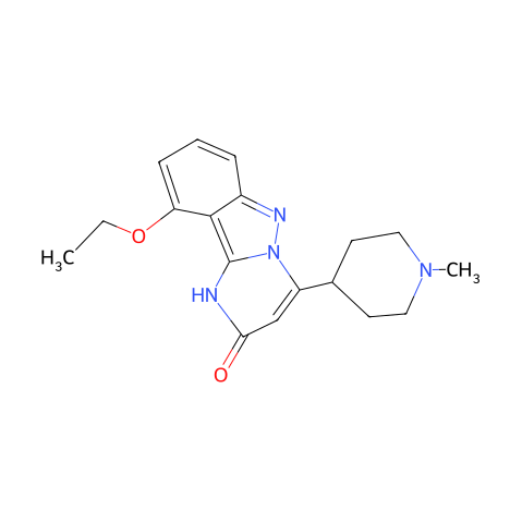 CCOc1cccc2nn3c(C4CCN(C)CC4)cc(=O)[nH]c3c12